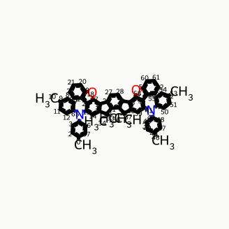 Cc1ccc(N(c2ccc(C)cc2)c2cc3c(c4oc5ccccc5c24)-c2ccc4c(c2C3(C)C)C(C)(C)c2cc(N(c3ccc(C)cc3)c3ccc(C)cc3)c3c(oc5ccccc53)c2-4)cc1